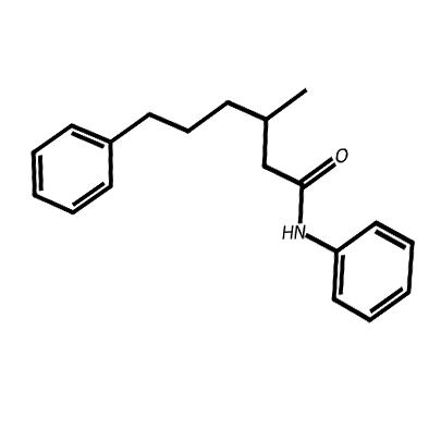 CC(CCCc1ccccc1)CC(=O)Nc1ccccc1